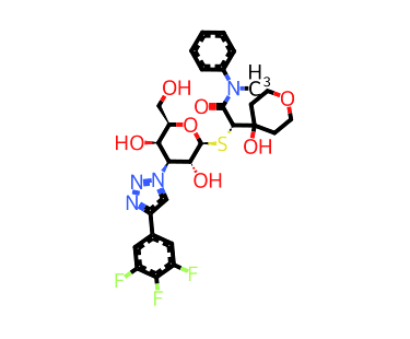 CN(C(=O)[C@@H](S[C@@H]1O[C@H](CO)[C@H](O)[C@H](n2cc(-c3cc(F)c(F)c(F)c3)nn2)[C@H]1O)C1(O)CCOCC1)c1ccccc1